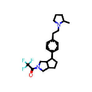 CC1CCCN1CCc1ccc(C2CCC3CN(C(=O)C(F)(F)F)CC32)cc1